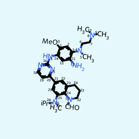 COc1cc(N(C)CCN(C)C)c(N)cc1Nc1nccc(-c2cc3c(c(N(C)C(C)C)c2)N(C=O)CCC3)n1